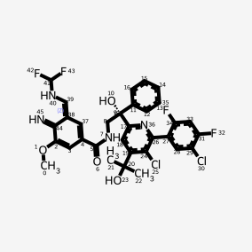 COC1=CC(C(=O)NC[C@@](O)(c2ccccc2)c2cc(C(C)(C)O)c(Cl)c(-c3cc(Cl)c(F)cc3F)n2)=C/C(=C/NC(F)F)C1=N